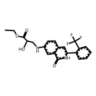 CCOC(=O)C(O)CNc1ccc2cc(-c3ccccc3C(F)(F)F)[nH]c(=O)c2c1